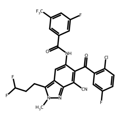 Cn1nc2c(C#N)c(C(=O)c3cc(F)ccc3Cl)c(NC(=O)c3cc(F)cc(C(F)(F)F)c3)cc2c1CCC(F)F